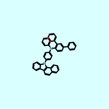 c1ccc(-c2ccc(N(c3ccccc3)c3ccc(-n4c5ccccc5c5ccc6ccccc6c54)cc3)c(-c3ccccc3)c2)cc1